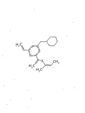 C=Cc1cc(CC2CCCCC2)cc(C(=C)S/C(C)=C\C)c1